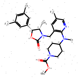 CCN(c1ncc(C(F)(F)F)cc1CN1C(=O)O[C@H](c2cc(C(F)(F)F)cc(C(F)(F)F)c2)[C@@H]1C)C1CCN(C(=O)OC(C)(C)C)CC1